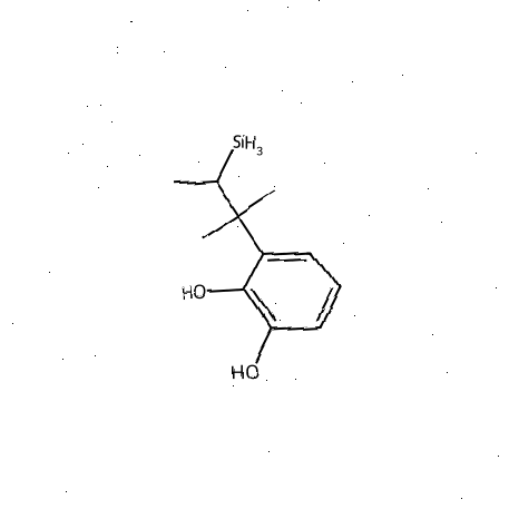 CC([SiH3])C(C)(C)c1cccc(O)c1O